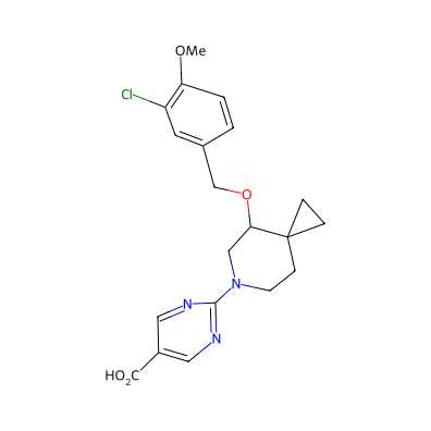 COc1ccc(COC2CN(c3ncc(C(=O)O)cn3)CCC23CC3)cc1Cl